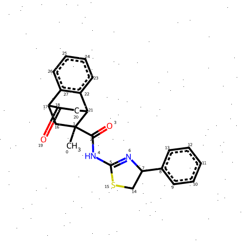 CC1(C(=O)NC2=NC(c3ccccc3)CS2)CC2C(=O)CC1c1ccccc12